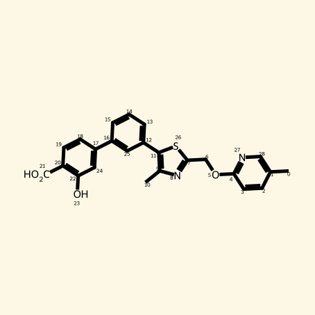 Cc1ccc(OCc2nc(C)c(-c3cccc(-c4ccc(C(=O)O)c(O)c4)c3)s2)nc1